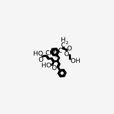 C=C(C)C(=O)OCCO.CC(=CC=C(C(=O)O)C(C=Cc1ccccc1)Cc1ccccc1)C(=O)O